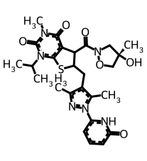 Cc1nn(-c2cccc(=O)[nH]2)c(C)c1CC1Sc2c(c(=O)n(C)c(=O)n2C(C)C)C1C(=O)N1C[C@](C)(O)CO1